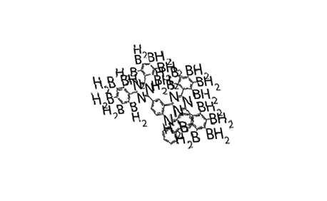 Bc1c(B)c(B)c(-c2nc(-c3ccc(-n4c5ccccc5c5ccccc54)c(-c4nc(-c5c(B)c(B)c(B)c(B)c5B)nc(-c5c(B)c(B)c(B)c(B)c5B)n4)c3)nc(-c3c(B)c(B)c(B)c(B)c3B)n2)c(B)c1B